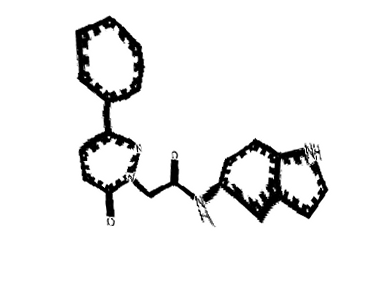 O=C(Cn1nc(-c2ccccc2)ccc1=O)Nc1ccc2[nH]ccc2c1